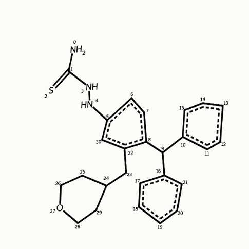 NC(=S)NNc1ccc(C(c2ccccc2)c2ccccc2)c(CC2CCOCC2)c1